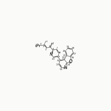 C=C(/C=C(\C)C(C)C)c1ccc(-c2ccnc3oc4ccccc4c23)cn1